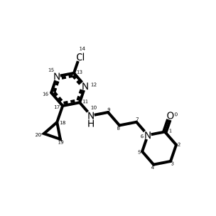 O=C1CCCCN1CCCNc1nc(Cl)ncc1C1CC1